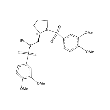 COc1ccc(S(=O)(=O)N(C[C@H]2CCCN2S(=O)(=O)c2ccc(OC)c(OC)c2)C(C)C)cc1OC